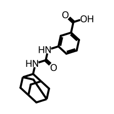 O=C(Nc1cccc(C(=O)O)c1)NC1C2CC3CC(C2)CC1C3